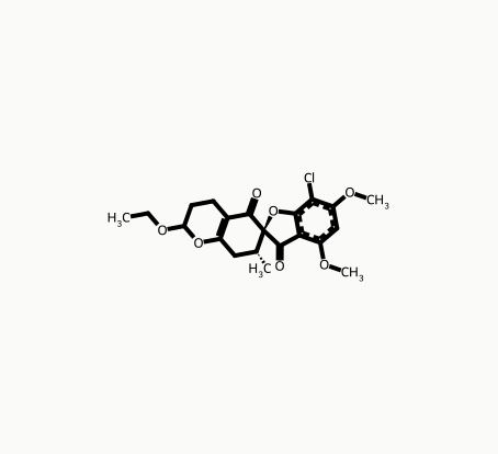 CCOC1CCC2=C(C[C@@H](C)[C@]3(Oc4c(Cl)c(OC)cc(OC)c4C3=O)C2=O)O1